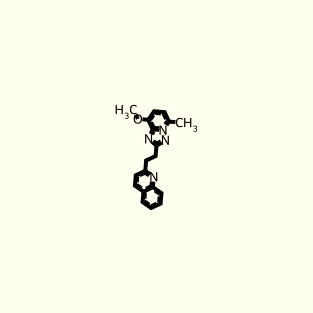 COc1ccc(C)n2nc(CCc3ccc4ccccc4n3)nc12